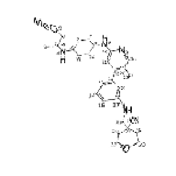 COC[C@@H](C)N[C@H]1CC[C@H](Nc2cc(-c3cccc(NCC4(C#N)CCOCC4)c3)c(F)cn2)CC1